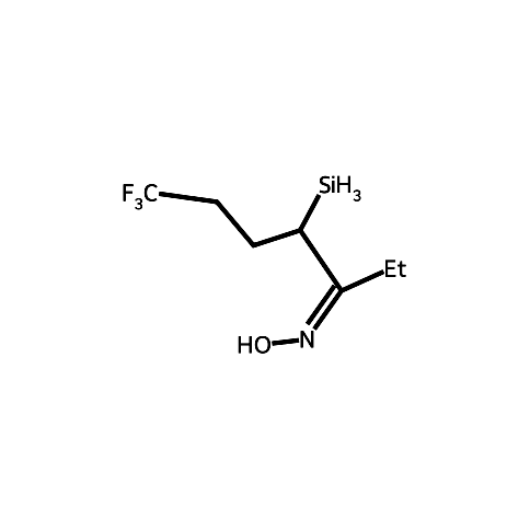 CCC(=NO)C([SiH3])CCC(F)(F)F